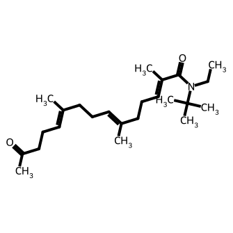 CCN(C(=O)C(C)=CCCC(C)=CCCC(C)=CCCC(C)=O)C(C)(C)C